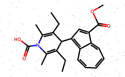 CCC1=C(C)N(C(=O)O)C(C)=C(CC)C1c1cc(C(=O)OC)c2cccccc1-2